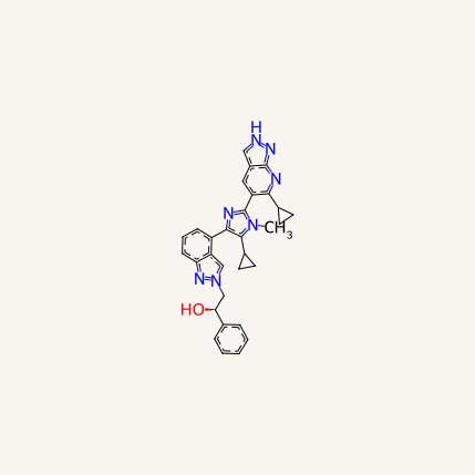 Cn1c(-c2cc3c[nH]nc3nc2C2CC2)nc(-c2cccc3nn(C[C@H](O)c4ccccc4)cc23)c1C1CC1